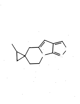 CC1CC12CCn1c(cc3csnc31)C2